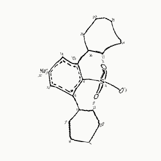 O=S(=O)([O-])c1c(C2CCCCC2)cccc1C1CCCCC1.[Na+]